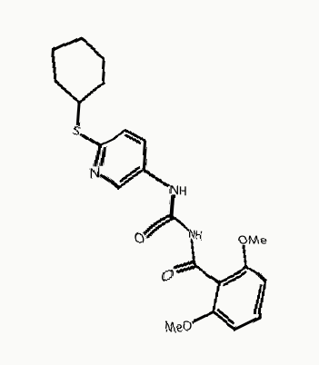 COc1cccc(OC)c1C(=O)NC(=O)Nc1ccc(SC2CCCCC2)nc1